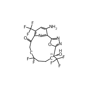 Nc1cc(C(F)(F)F)c2nc1-c1nnc(o1)[C@](O)(C(F)(F)F)CCCC(F)(F)CCC2=O